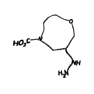 NNC1COCCN(C(=O)O)C1